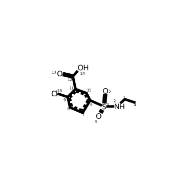 CCNS(=O)(=O)c1ccc(Cl)c(C(=O)O)c1